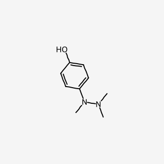 CN(C)N(C)c1ccc(O)cc1